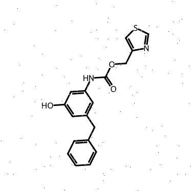 O=C(Nc1cc(O)cc(Cc2ccccc2)c1)OCc1cscn1